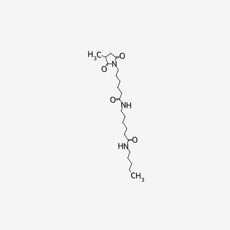 CCCCCNC(=O)CCCCCNC(=O)CCCCCN1C(=O)CC(C)C1=O